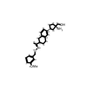 COc1cccc(CO/N=C(\C)C2CCc3cc([C@H]4CC[C@](N)(CO)C4)ccc3C2)c1